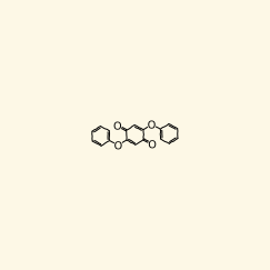 O=C1C=C(Oc2ccccc2)C(=O)C=C1Oc1ccccc1